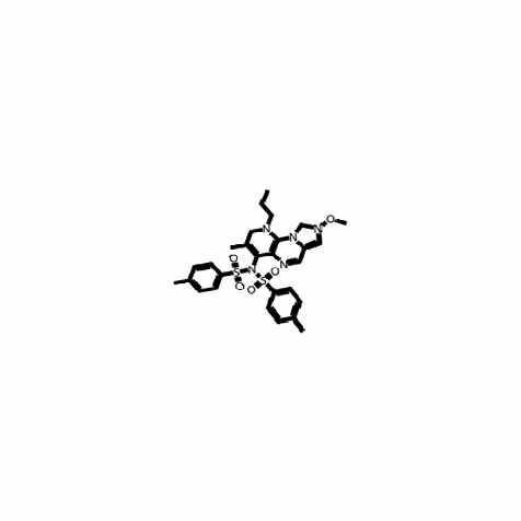 CCCN1CC(C)=C(N(S(=O)(=O)c2ccc(C)cc2)S(=O)(=O)c2ccc(C)cc2)C2=C1N1CN(OC)C=C1C=N2